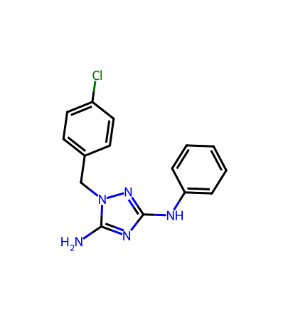 Nc1nc(Nc2ccccc2)nn1Cc1ccc(Cl)cc1